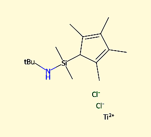 CC1=C(C)C([Si](C)(C)NC(C)(C)C)C(C)=C1C.[Cl-].[Cl-].[Ti+2]